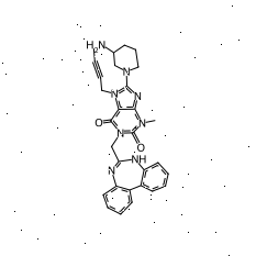 CC#CCn1c(N2CCCC(N)C2)nc2c1c(=O)n(CC1=Nc3ccccc3-c3ccccc3N1)c(=O)n2C